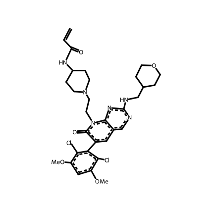 C=CC(=O)NC1CCN(CCn2c(=O)c(-c3c(Cl)c(OC)cc(OC)c3Cl)cc3cnc(NCC4CCOCC4)nc32)CC1